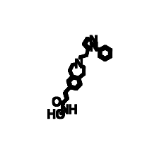 O=C(/C=C/c1ccc2c(c1)CCN(CCc1ccnn1-c1ccccc1)CC2)NO